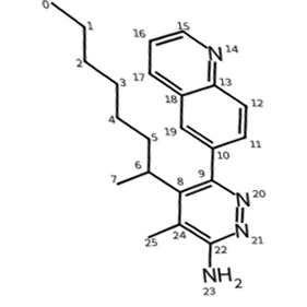 CCCCCCC(C)c1c(-c2ccc3ncccc3c2)nnc(N)c1C